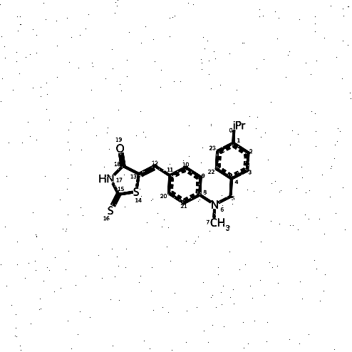 CC(C)c1ccc(CN(C)c2ccc(/C=C3\SC(=S)NC3=O)cc2)cc1